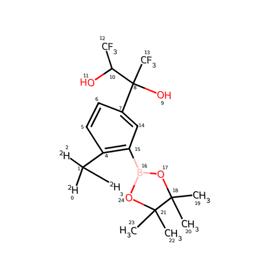 [2H]C([2H])([2H])c1ccc(C(O)(C(O)C(F)(F)F)C(F)(F)F)cc1B1OC(C)(C)C(C)(C)O1